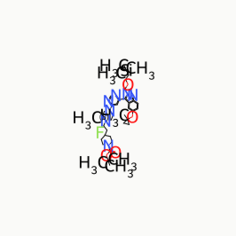 C[C@H]1CN(c2cc(-c3c4cc(OC5(C)CC5)ccc4nn3COCC[Si](C)(C)C)ncn2)CCN1CCC1(F)CCN(C(=O)OC(C)(C)C)CC1